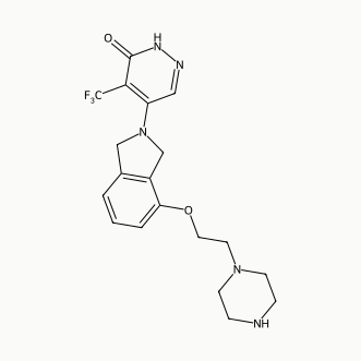 O=c1[nH]ncc(N2Cc3cccc(OCCN4CCNCC4)c3C2)c1C(F)(F)F